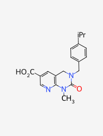 CC(C)c1ccc(CN2Cc3cc(C(=O)O)cnc3N(C)C2=O)cc1